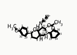 COc1ccc([C@@H]2CC[C@H]3C[SH](c4ccccc4)[C@@H](OC(C)=O)[C@@H](N=[N+]=[N-])[C@@H]3O2)cc1